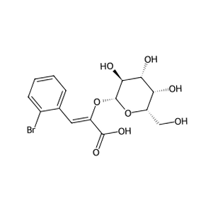 O=C(O)/C(=C/c1ccccc1Br)O[C@H]1O[C@@H](CO)[C@@H](O)[C@@H](O)[C@@H]1O